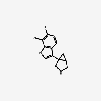 Fc1ccc2c(C34CNCC3C4)c[nH]c2c1Cl